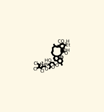 CCC1CC23OC(=O)C(=C2O)C(=O)C2(CC)C(C=CC4C(OC5CC(O)C(NC(=O)c6c(Cl)c(Cl)c(Cl)n6C)C(C)O5)C(C)CCC42)C/C=C/C/C(C)=C/C3(C)C=C1C(=O)O